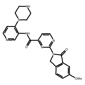 COc1ccc2c(c1)C(=O)N(c1nccc(C(=O)Nc3cnccc3N3CCNCC3)n1)C2